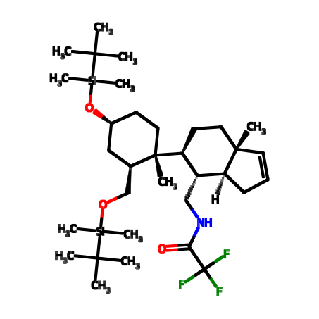 CC(C)(C)[Si](C)(C)OC[C@H]1C[C@@H](O[Si](C)(C)C(C)(C)C)CC[C@]1(C)[C@H]1CC[C@]2(C)C=CC[C@H]2[C@@H]1CNC(=O)C(F)(F)F